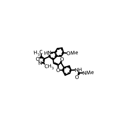 CNC(=O)Nc1ccc2c(c1)C(=O)C(=Cc1c(-c3c(C)noc3C)[nH]c3ccc(OC)cc13)O2